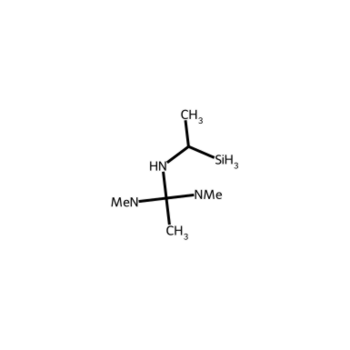 CNC(C)(NC)NC(C)[SiH3]